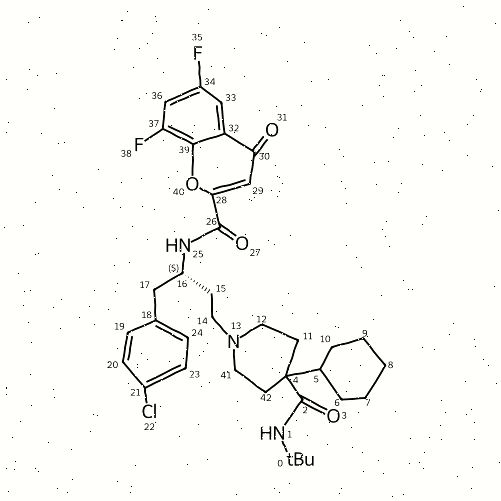 CC(C)(C)NC(=O)C1(C2CCCCC2)CCN(CC[C@H](Cc2ccc(Cl)cc2)NC(=O)c2cc(=O)c3cc(F)cc(F)c3o2)CC1